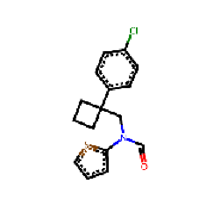 O=CN(CC1(c2ccc(Cl)cc2)CCC1)c1cccs1